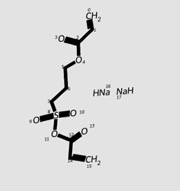 C=CC(=O)OCCCS(=O)(=O)OC(=O)C=C.[NaH].[NaH]